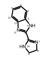 c1ccc2[nH]c(C3=NCCN3)nc2c1